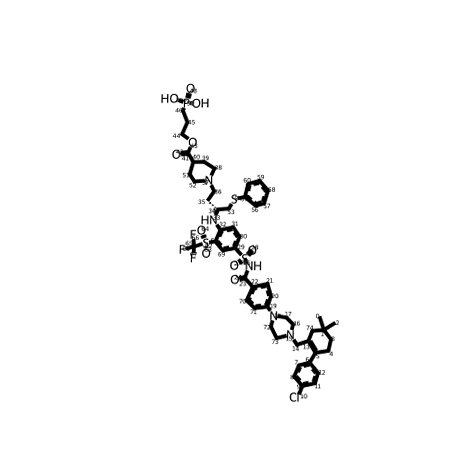 CC1(C)CCC(c2ccc(Cl)cc2)=C(CN2CCN(c3ccc(C(=O)NS(=O)(=O)c4ccc(N[C@H](CCN5CCC(C(=O)OCCCP(=O)(O)O)CC5)CSc5ccccc5)c(S(=O)(=O)C(F)(F)F)c4)cc3)CC2)C1